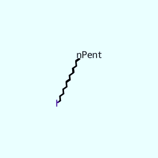 CCCCCC=CCC=CCC=CCCCCCI